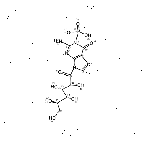 Nc1nc2c(ncn2C(=O)[C@@H](O)[C@@H](O)[C@H](O)[C@H](O)CO)c(=O)n1P(=O)(O)O